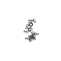 CO[C@@H]1[C@H](O)[C@@H](COP(=O)(O)OP(=O)(O)OP(=O)(O)O)O[C@H]1n1ccc(NC(C)=O)nc1=O